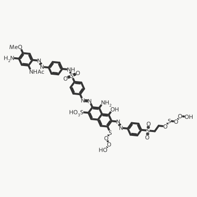 COc1cc(/N=N/c2ccc(NS(=O)(=O)c3ccc(/N=N/c4c(S(=O)(=O)O)cc5cc(SOOO)c(/N=N/c6ccc(S(=O)(=O)CCOSOOO)cc6)c(O)c5c4N)cc3)cc2)c(NC(C)=O)cc1N